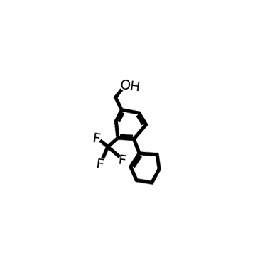 OCc1ccc(C2=CCCCC2)c(C(F)(F)F)c1